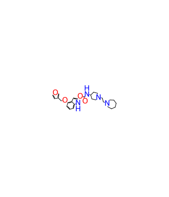 O=C(NC1CCN(CCN2CCCCCC2)CC1)Oc1cc2c(OCc3ccoc3)cccc2[nH]1